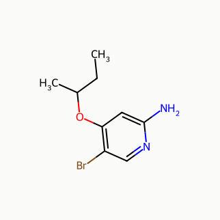 CCC(C)Oc1cc(N)ncc1Br